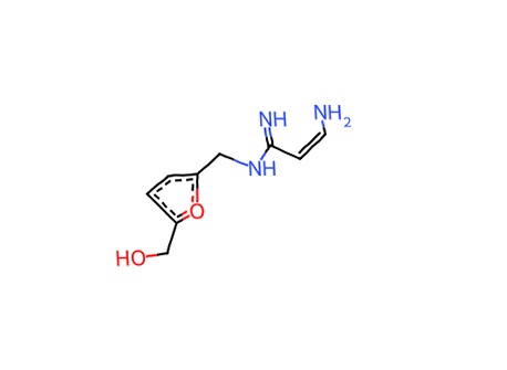 N=C(/C=C\N)NCc1ccc(CO)o1